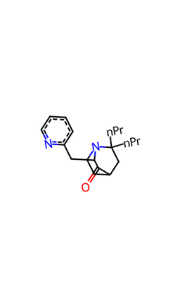 CCCC1(CCC)CC2CCN1C(Cc1ccccn1)C2=O